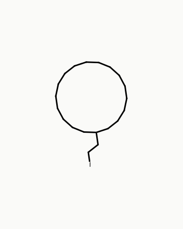 ICCC1CCCCCCCCCCCCCCCCC1